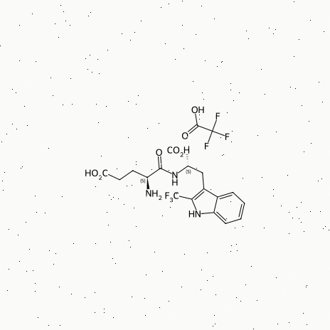 N[C@@H](CCC(=O)O)C(=O)N[C@@H](Cc1c(C(F)(F)F)[nH]c2ccccc12)C(=O)O.O=C(O)C(F)(F)F